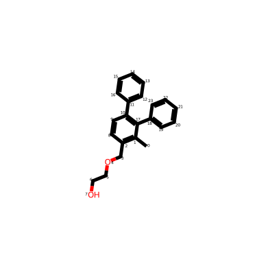 Cc1c(COCCO)ccc(-c2ccccc2)c1-c1ccccc1